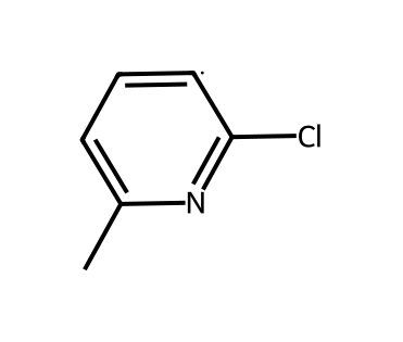 Cc1cc[c]c(Cl)n1